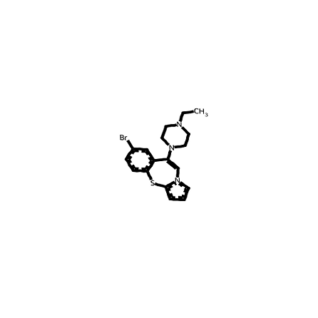 CCN1CCN(C2=Cn3cccc3Sc3ccc(Br)cc32)CC1